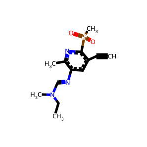 C#Cc1cc(/N=C/N(C)CC)c(C)nc1S(C)(=O)=O